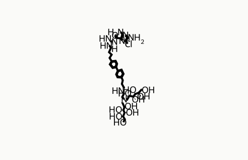 N=C(NCCCCc1ccc(-c2ccc(CCCNCCN(C[C@H](O)[C@@H](O)[C@H](O)[C@H](O)CO)C[C@H](O)[C@@H](O)[C@H](O)[C@H](O)CO)cc2)cc1)NC(=O)c1nc(Cl)c(N)nc1N